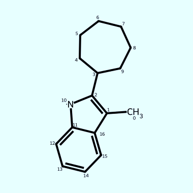 CC1=C(C2CCCCCC2)[N]c2ccccc21